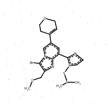 COCc1nc2c(-c3nccn3SN(C)C)cc(C3=CCOCC3)cn2c1Br